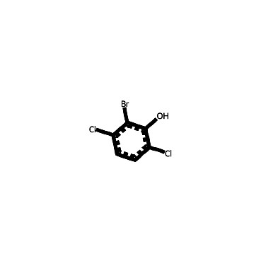 Oc1c(Cl)ccc(Cl)c1Br